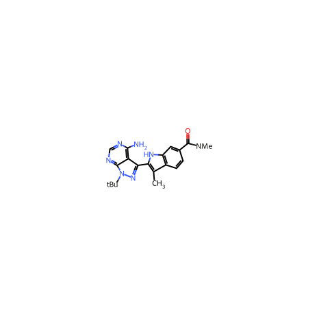 CNC(=O)c1ccc2c(C)c(-c3nn(C(C)(C)C)c4ncnc(N)c34)[nH]c2c1